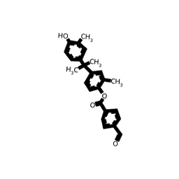 Cc1cc(C(C)(C)c2ccc(OC(=O)c3ccc(C=O)cc3)c(C)c2)ccc1O